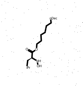 CCCCCCCCCCCCCCCCOC(=O)[C@H](CC(C)C)NO